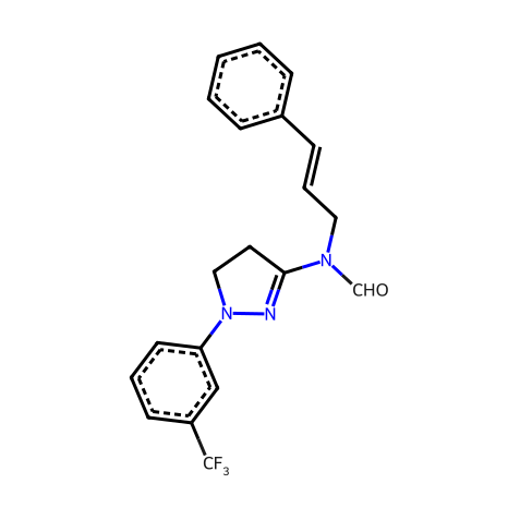 O=CN(CC=Cc1ccccc1)C1=NN(c2cccc(C(F)(F)F)c2)CC1